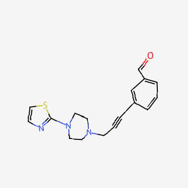 O=Cc1cccc(C#CCN2CCN(c3nccs3)CC2)c1